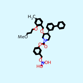 COCCCOc1cc(C)ccc1COC1CN(C(=O)Oc2cccc(CON(O)O)c2)CC[C@@H]1c1cccc(-c2ccccc2)c1